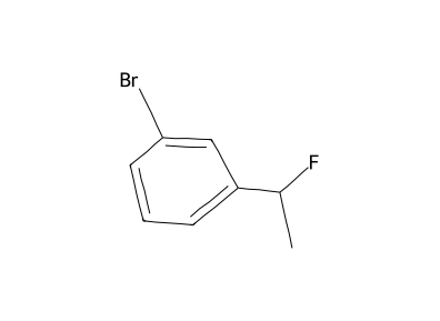 CC(F)c1cccc(Br)c1